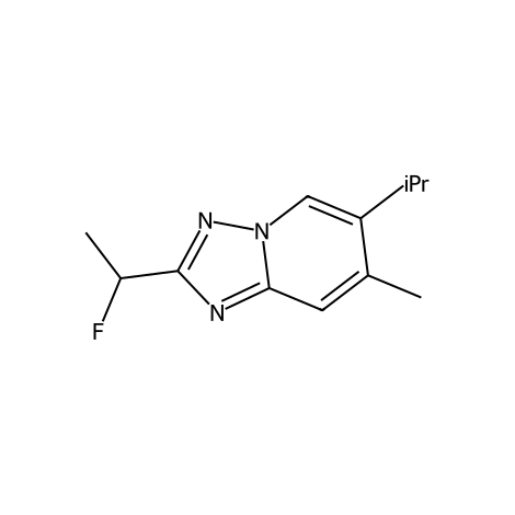 Cc1cc2nc(C(C)F)nn2cc1C(C)C